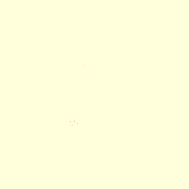 COOc1ccccc1-c1ccccc1C(=O)O